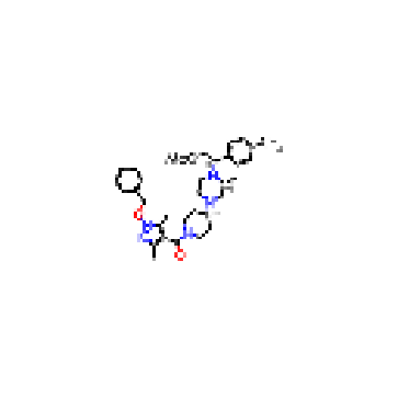 COC[C@@H](c1ccc(C(F)(F)F)cc1)N1CCN(C2(C)CCN(C(=O)c3c(C)nn(OCc4ccccc4)c3C)CC2)C[C@@H]1C